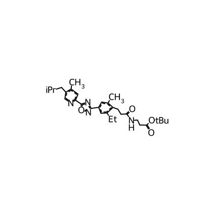 CCc1cc(-c2noc(-c3cc(C)c(CC(C)C)cn3)n2)cc(C)c1CCC(=O)NCCC(=O)OC(C)(C)C